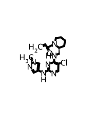 C=CC(=O)N1CCCC[C@H]1CNc1nc(Nc2cnn(C)c2)ncc1Cl